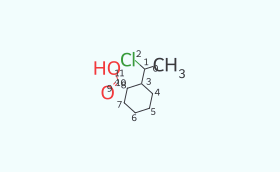 CC(Cl)C1CCCCC1.O=CO